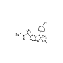 CC(C)c1ccc(C2c3cc(N(C)C(=O)CC(C)(C)C)ccc3OC2(C)C)cc1